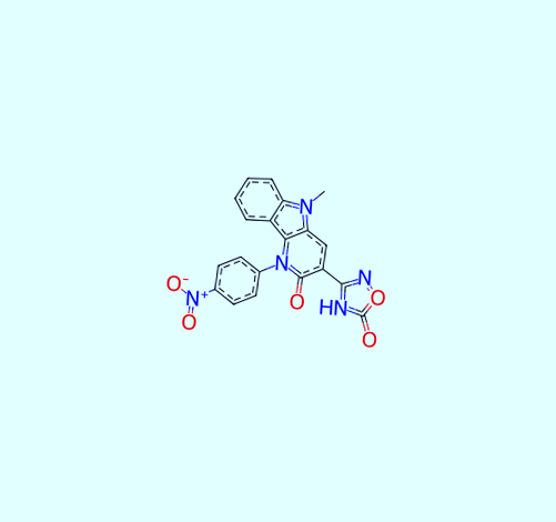 Cn1c2ccccc2c2c1cc(-c1noc(=O)[nH]1)c(=O)n2-c1ccc([N+](=O)[O-])cc1